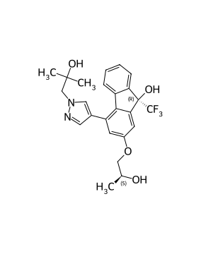 C[C@H](O)COc1cc(-c2cnn(CC(C)(C)O)c2)c2c(c1)[C@@](O)(C(F)(F)F)c1ccccc1-2